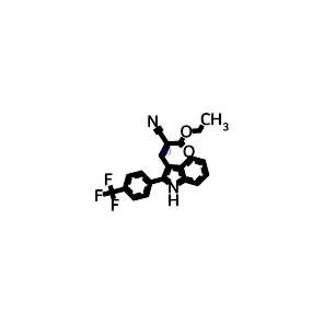 CCOC(=O)/C(C#N)=C\c1c(-c2ccc(C(F)(F)F)cc2)[nH]c2ccccc12